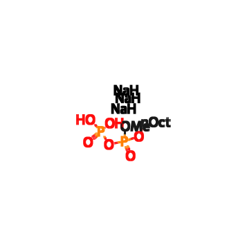 CCCCCCCCOP(=O)(OC)OP(=O)(O)O.[NaH].[NaH].[NaH]